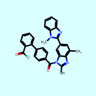 CCCc1nc2c(C)cc(-c3nc4ccccc4n3C)cc2n1C(=O)c1ccc(-c2ccccc2C(=O)Cl)cc1